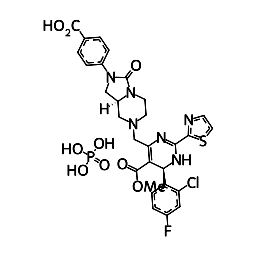 COC(=O)C1=C(CN2CCN3C(=O)N(c4ccc(C(=O)O)cc4)C[C@@H]3C2)N=C(c2nccs2)N[C@H]1c1ccc(F)cc1Cl.O=P(O)(O)O